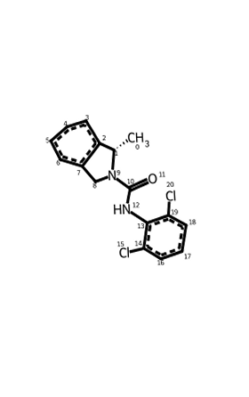 C[C@H]1c2ccccc2CN1C(=O)Nc1c(Cl)cccc1Cl